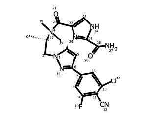 C[C@@H](Cn1ccc(-c2cc(F)c(C#N)c(Cl)c2)n1)[N+](C)(C)C(=O)c1c[nH]c(C(N)=O)n1